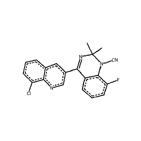 CC1(C)N=C(c2cnc3c(Cl)cccc3c2)c2cccc(F)c2N1C#N